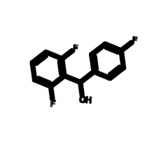 OC(c1ccc(F)cc1)c1c(F)cccc1F